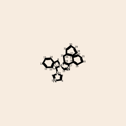 O=C(n1ccnc1)[N+]1(Cc2ccccc2)C=NC(c2ccccc2)=C1Cc1ccccc1